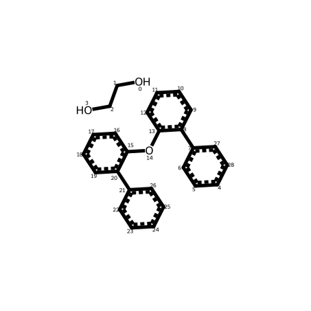 OCCO.c1ccc(-c2ccccc2Oc2ccccc2-c2ccccc2)cc1